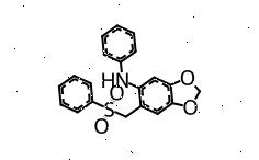 O=S(=O)(Cc1cc2c(cc1Nc1ccccc1)OCO2)c1ccccc1